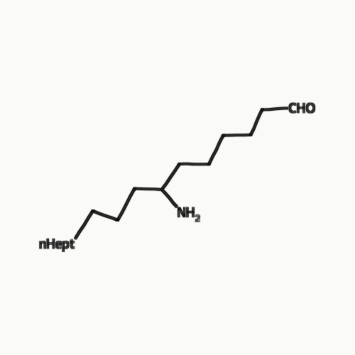 CCCCCCCCCCC(N)CCCCCC=O